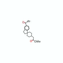 COC(=O)CC1CCC2(CCc3cc(C(=O)C(C)C)ccc32)CC1